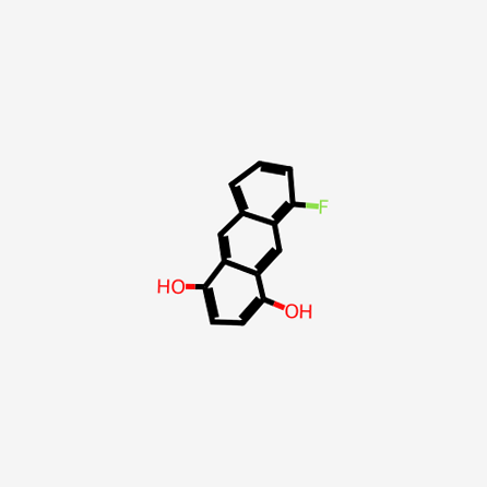 Oc1ccc(O)c2cc3c(F)cccc3cc12